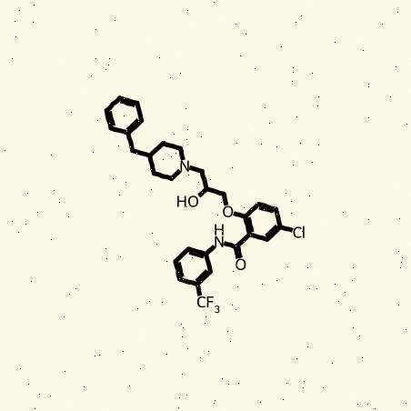 O=C(Nc1cccc(C(F)(F)F)c1)c1cc(Cl)ccc1OCC(O)CN1CCC(Cc2ccccc2)CC1